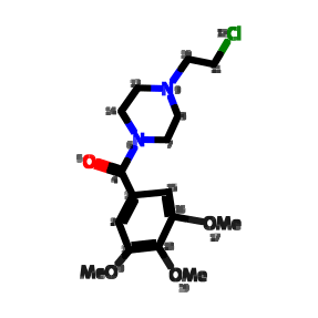 COc1cc(C(=O)N2CCN(CCCl)CC2)cc(OC)c1OC